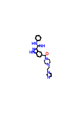 N=C(Nc1ccccc1)c1n[nH]c2ccc(C(=O)N3CCN(CCn4ccnc4)CC3)cc12